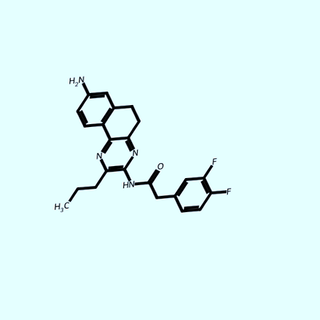 CCCc1nc2c(nc1NC(=O)Cc1ccc(F)c(F)c1)CCc1cc(N)ccc1-2